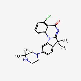 CC1(C)CN(c2ccc3c(c2)-n2c(nc(=O)c4c(Br)cccc42)C3(C)C)CCN1